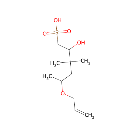 C=CCOC(C)CC(C)(C)C(O)CS(=O)(=O)O